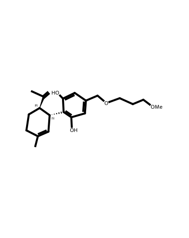 C=C(C)[C@@H]1CCC(C)=C[C@H]1c1c(O)cc(COCCCOC)cc1O